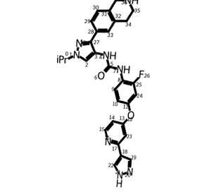 CC(C)n1cc(NC(=O)Nc2ccc(Oc3ccnc(-c4cn[nH]c4)c3)cc2F)c(-c2ccc3c(c2)CCNC3)n1